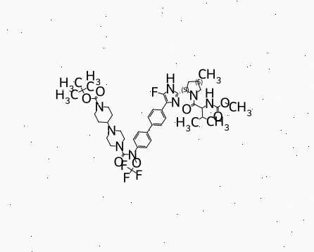 COC(=O)NC(C(=O)N1C[C@@H](C)C[C@H]1c1nc(-c2ccc(-c3ccc(N(OC(F)(F)F)C(=O)N4CCN(C5CCN(C(=O)OC(C)(C)C)CC5)CC4)cc3)cc2)c(F)[nH]1)C(C)C